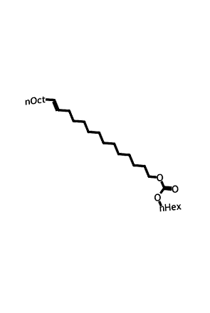 CCCCCCCCC=CCCCCCCCCCCCCOC(=O)OCCCCCC